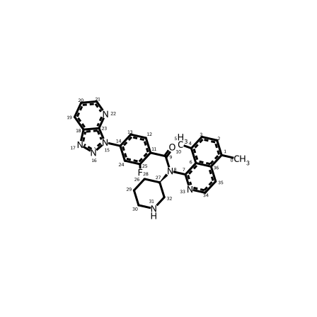 Cc1ccc(C)c2c(N(C(=O)c3ccc(-n4nnc5cccnc54)cc3F)[C@@H]3CCCNC3)nccc12